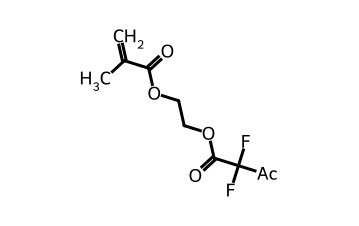 C=C(C)C(=O)OCCOC(=O)C(F)(F)C(C)=O